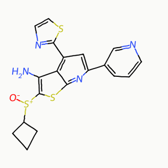 Nc1c([S+]([O-])C2CCC2)sc2nc(-c3cccnc3)cc(-c3nccs3)c12